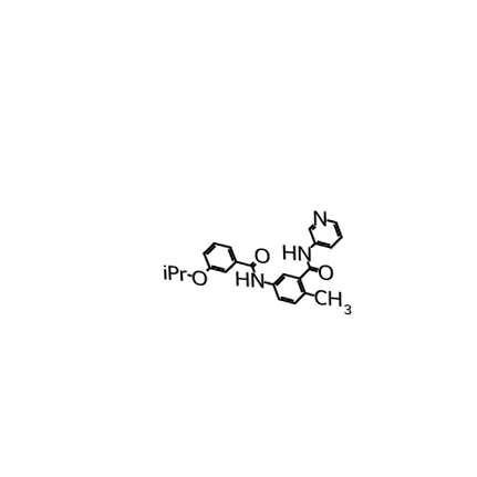 Cc1ccc(NC(=O)c2cccc(OC(C)C)c2)cc1C(=O)Nc1cccnc1